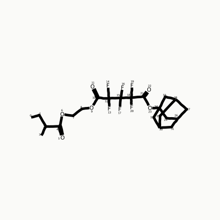 CCC(C)C(=O)OCCOC(=O)C(F)(F)C(F)(F)C(F)(F)C(=O)OC12CC3CC(CC(C3)C1)C2